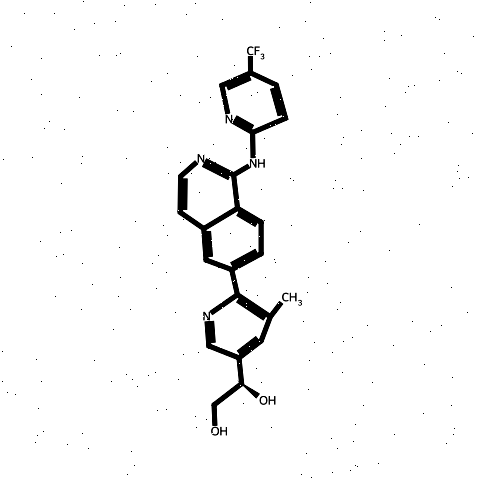 Cc1cc([C@@H](O)CO)cnc1-c1ccc2c(Nc3ccc(C(F)(F)F)cn3)nccc2c1